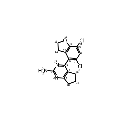 Nc1nc2c(c(-c3c(Cl)cc(Cl)c4c3CCO4)n1)CCC2